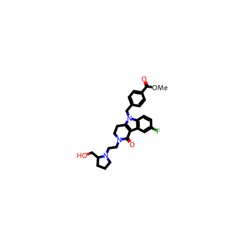 COC(=O)c1ccc(Cn2c3c(c4cc(F)ccc42)C(=O)N(CCN2CCCC2CO)CC3)cc1